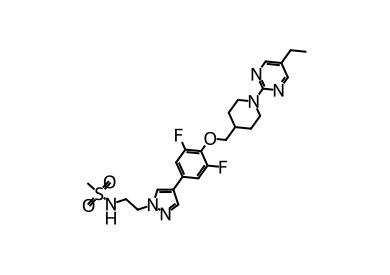 CCc1cnc(N2CCC(COc3c(F)cc(-c4cnn(CCNS(C)(=O)=O)c4)cc3F)CC2)nc1